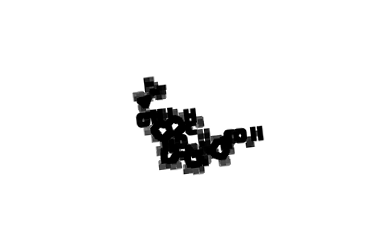 Cc1ccc2c(NC(=O)[C@@H]3C[C@H]3C(F)F)cccc2c1Oc1ncccc1-c1ccnc(N[C@H]2CCCN(C(=O)O)C2)n1